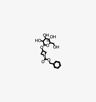 O=C(OCc1ccccc1)N1CC(O[C@H]2OC(CO)[C@@H](O)C(O)C2O)C1